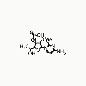 COC1C(O[PH](=O)O)C([C@H](C)O)OC1n1ccc(N)nc1=O